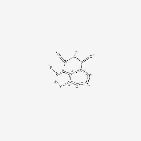 O=C1OC(=O)c2c(F)ccc3cccc1c23